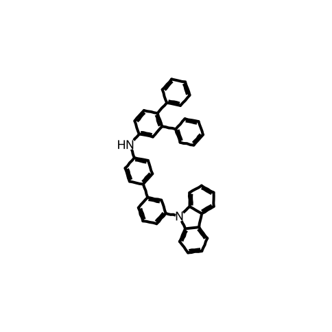 c1ccc(-c2ccc(Nc3ccc(-c4cccc(-n5c6ccccc6c6ccccc65)c4)cc3)cc2-c2ccccc2)cc1